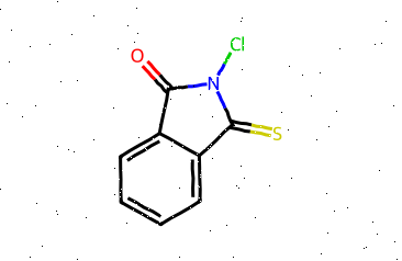 O=C1c2ccccc2C(=S)N1Cl